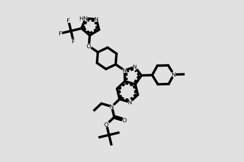 CCN(C(=O)OC(C)(C)C)c1cc2c(cn1)c(C1CCN(C)CC1)nn2C1CCC(Oc2cn[nH]c2C(F)(F)F)CC1